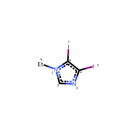 CCn1cnc(I)c1I